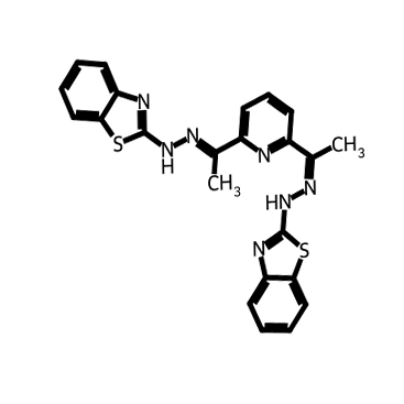 C/C(=N/Nc1nc2ccccc2s1)c1cccc(/C(C)=N/Nc2nc3ccccc3s2)n1